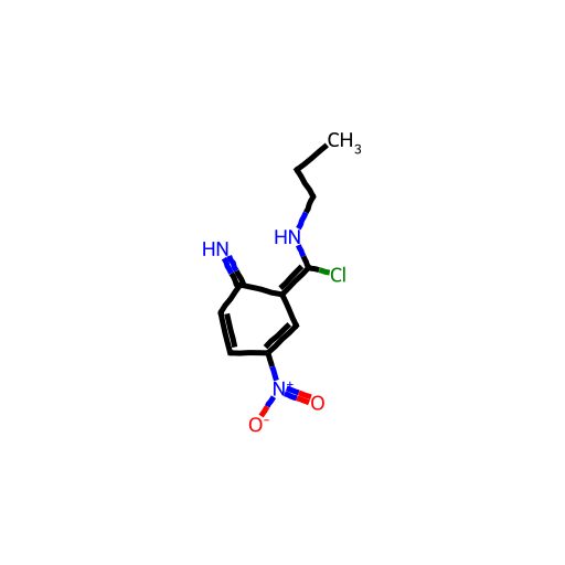 CCCN/C(Cl)=C1/C=C([N+](=O)[O-])C=CC1=N